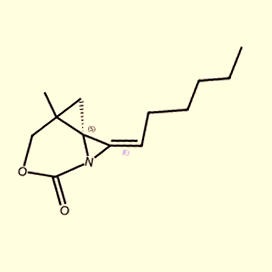 CCCCC/C=C1/N2C(=O)OCC3(C)C[C@]123